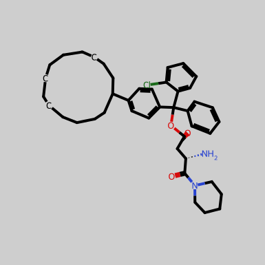 N[C@@H](CC(=O)OC(c1ccccc1)(c1ccc(C2CCCCCCCCCCCCC2)cc1)c1ccccc1Cl)C(=O)N1CCCCC1